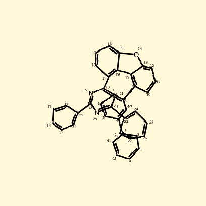 c1ccc(-c2cccc(-c3cccc4oc5cccc(-c6nc(-c7ccccc7)nc(-c7ccccc7)n6)c5c34)c2)cc1